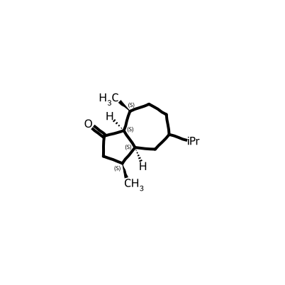 CC(C)C1CC[C@H](C)[C@@H]2C(=O)C[C@H](C)[C@@H]2C1